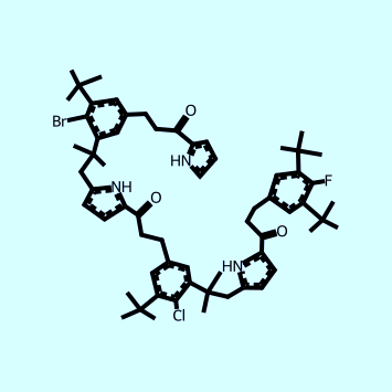 CC(C)(C)c1cc(CCC(=O)c2ccc(CC(C)(C)c3cc(CCC(=O)c4ccc(CC(C)(C)c5cc(CCC(=O)c6ccc[nH]6)cc(C(C)(C)C)c5Br)[nH]4)cc(C(C)(C)C)c3Cl)[nH]2)cc(C(C)(C)C)c1F